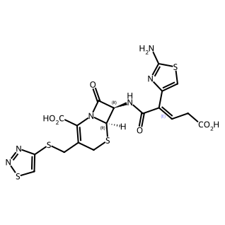 Nc1nc(/C(=C\CC(=O)O)C(=O)N[C@@H]2C(=O)N3C(C(=O)O)=C(CSc4csnn4)CS[C@H]23)cs1